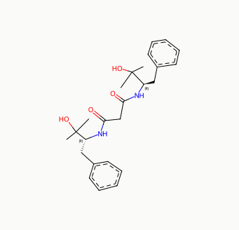 CC(C)(O)[C@@H](Cc1ccccc1)NC(=O)CC(=O)N[C@H](Cc1ccccc1)C(C)(C)O